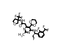 Cc1nc(CC(=O)NC2(C(F)(F)F)CCOC2)c(C2OCCCO2)c(N[C@H](CF)c2cccc(C(F)F)c2F)n1